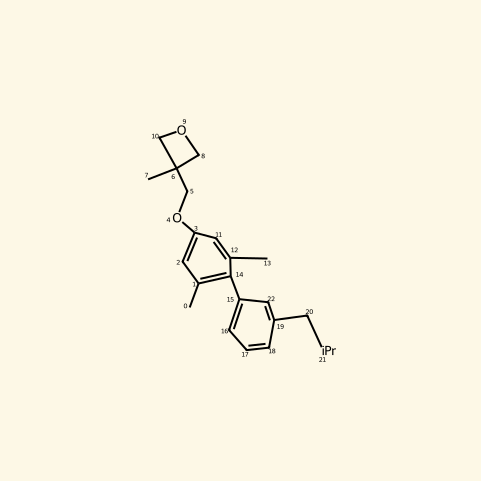 Cc1cc(OCC2(C)COC2)cc(C)c1-c1cccc(CC(C)C)c1